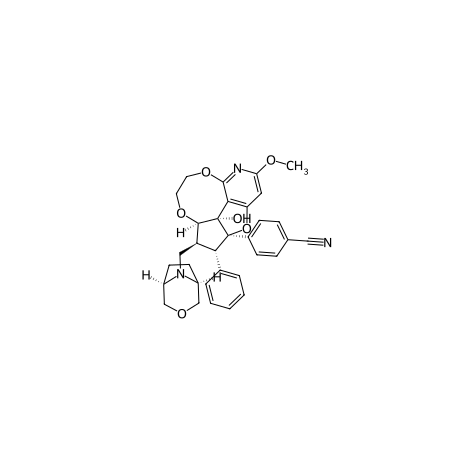 COc1cc2c3c(n1)OCCO[C@@H]1[C@H](CN4[C@@H]5CC[C@H]4COC5)[C@@H](c4ccccc4)[C@](c4ccc(C#N)cc4)(O2)[C@]31O